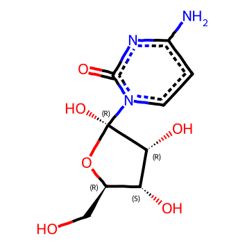 Nc1ccn([C@]2(O)O[C@H](CO)[C@@H](O)[C@H]2O)c(=O)n1